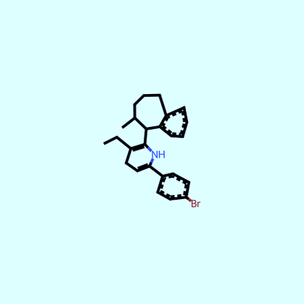 CCC1=C(C2c3ccccc3CCCC2C)NC(c2ccc(Br)cc2)=CC1